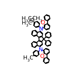 Cc1ccc(N(c2cc3c(c4ccccc24)-c2c(cc(N(c4ccc([Si](C)(C)C)cc4)c4cccc5c4oc4ccccc45)c4ccccc24)C3(c2ccccc2)c2ccccc2)c2cccc3c2oc2ccccc23)cc1